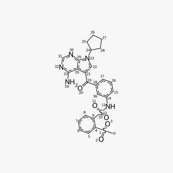 CS(=O)(=O)c1ccccc1S(=O)(=O)Nc1cccc(C(=O)c2cn(C3CCCC3)c3ncnc(N)c23)c1